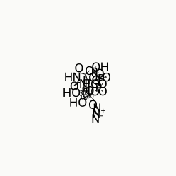 [N-]=[N+]=NOC[C@H]1O[C@@H](n2cc(OP(=O)(O)OP(=O)(O)OP(=O)(O)O)c(=O)[nH]c2=O)[C@H](O)[C@@H]1O